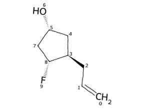 C=CC[C@@H]1C[C@@H](O)C[C@H]1F